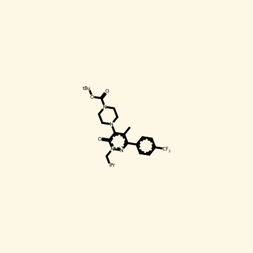 Cc1c(-c2ccc(C(F)(F)F)cc2)nn(CC(C)C)c(=O)c1N1CCN(C(=O)OC(C)(C)C)CC1